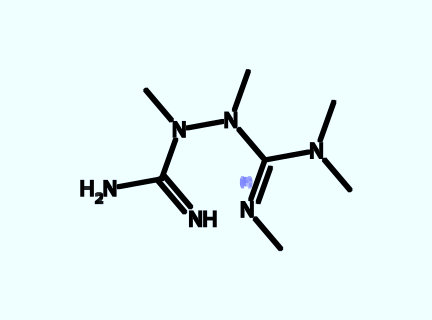 C/N=C(\N(C)C)N(C)N(C)C(=N)N